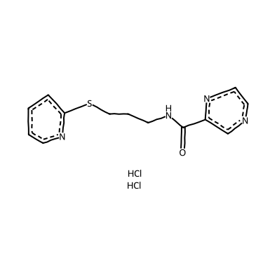 Cl.Cl.O=C(NCCCSc1ccccn1)c1cnccn1